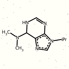 CC(C)n1cnc2c1N=CNC2N(C)C